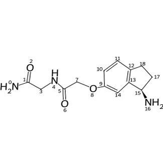 NC(=O)CNC(=O)COc1ccc2c(c1)[C@H](N)CC2